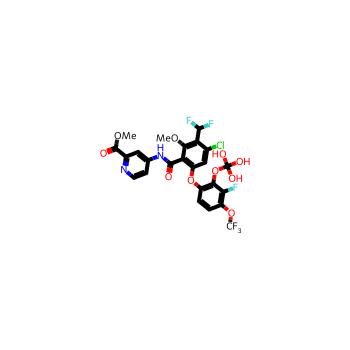 COC(=O)c1cc(NC(=O)c2c(Oc3ccc(OC(F)(F)F)c(F)c3OC(O)(O)O)cc(Cl)c(C(F)F)c2OC)ccn1